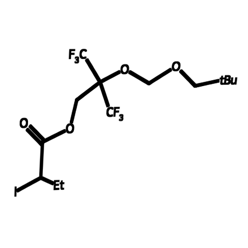 CCC(I)C(=O)OCC(OCOCC(C)(C)C)(C(F)(F)F)C(F)(F)F